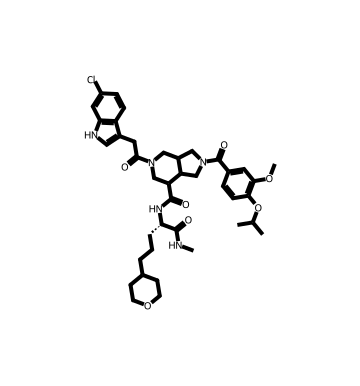 CNC(=O)[C@H](CCCC1CCOCC1)NC(=O)C1CN(C(=O)Cc2c[nH]c3cc(Cl)ccc23)CC2CN(C(=O)c3ccc(OC(C)C)c(OC)c3)CC21